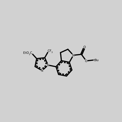 CCOC(=O)c1cnn(-c2cccc3c2CCN3C(=O)OC(C)(C)C)c1C(F)(F)F